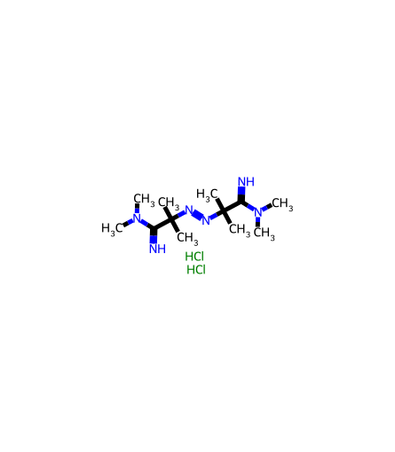 CN(C)C(=N)C(C)(C)/N=N/C(C)(C)C(=N)N(C)C.Cl.Cl